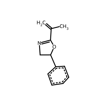 C=C(C)C1=NCC(c2ccccc2)O1